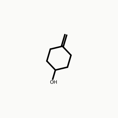 C=C1CCC(O)CC1